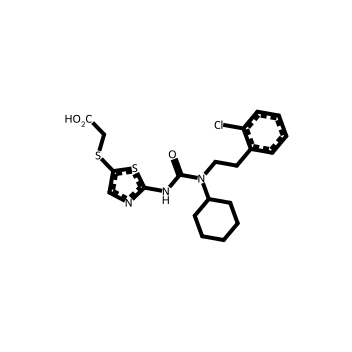 O=C(O)CSc1cnc(NC(=O)N(CCc2ccccc2Cl)C2CCCCC2)s1